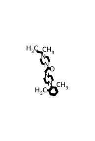 CCC(C)N1CCN(C(=O)CN2CCN(c3c(C)cccc3C)CC2)CC1